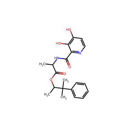 CC(NC(=O)c1nccc(O)c1O)C(=O)OC(C)C(C)(C)c1ccccc1